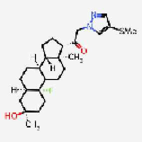 CSc1cnn(CC(=O)[C@H]2CC[C@H]3[C@@H]4CC[C@@H]5C[C@](C)(O)CC[C@]5(F)C4CC[C@]23C)c1